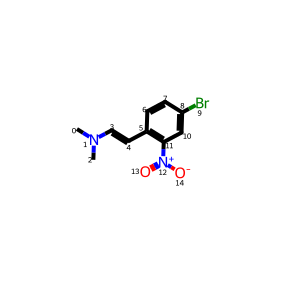 CN(C)C=Cc1ccc(Br)cc1[N+](=O)[O-]